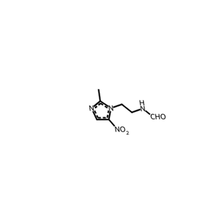 Cc1ncc([N+](=O)[O-])n1CCNC=O